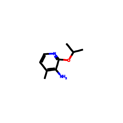 Cc1ccnc(OC(C)C)c1N